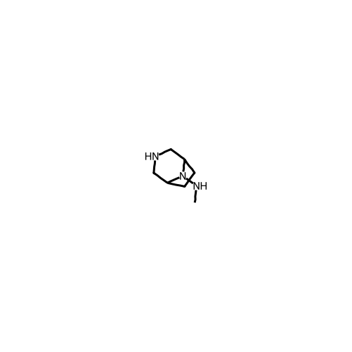 CNN1C2CCC1CNC2